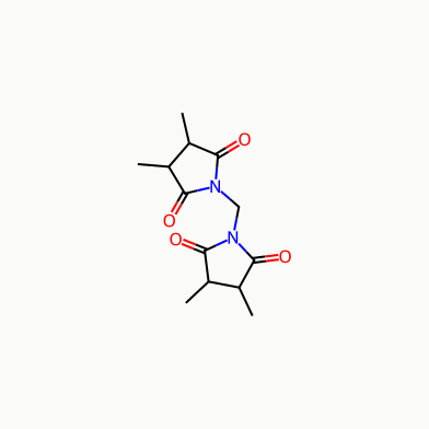 CC1C(=O)N(CN2C(=O)C(C)C(C)C2=O)C(=O)C1C